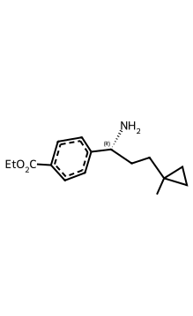 CCOC(=O)c1ccc([C@H](N)CCC2(C)CC2)cc1